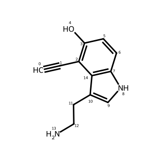 C#Cc1c(O)ccc2[nH]cc(CCN)c12